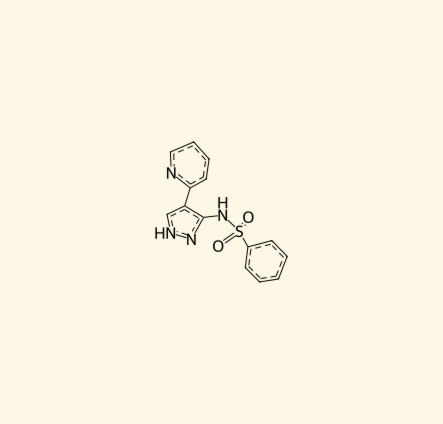 O=S(=O)(Nc1n[nH]cc1-c1ccccn1)c1ccccc1